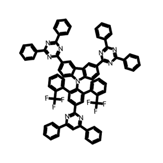 FC(F)(F)c1ccccc1-c1cc(-c2nc(-c3ccccc3)cc(-c3ccccc3)n2)cc(-c2ccccc2C(F)(F)F)c1-n1c2ccc(-c3nc(-c4ccccc4)nc(-c4ccccc4)n3)cc2c2cc(-c3nc(-c4ccccc4)nc(-c4ccccc4)n3)ccc21